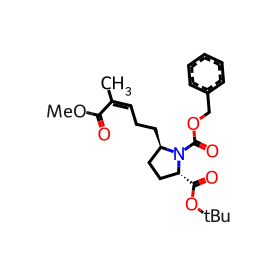 COC(=O)/C(C)=C\CC[C@@H]1CC[C@@H](C(=O)OC(C)(C)C)N1C(=O)OCc1ccccc1